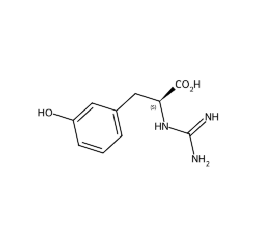 N=C(N)N[C@@H](Cc1cccc(O)c1)C(=O)O